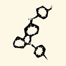 Fc1ccc(Nc2ccc3c(c2)c2ccccc2n3-c2ccc(F)cc2)cc1